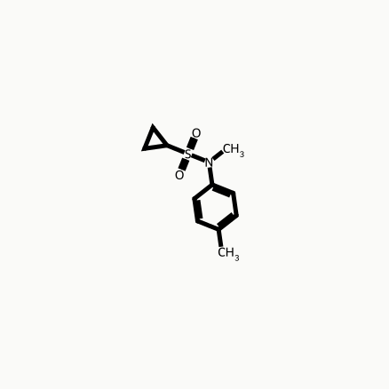 Cc1ccc(N(C)S(=O)(=O)C2CC2)cc1